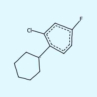 Fc1ccc([C]2CCCCC2)c(Cl)c1